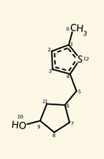 Cc1ccc(CC2CCC(O)C2)s1